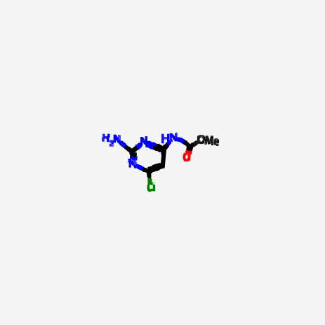 COC(=O)Nc1cc(Cl)nc(N)n1